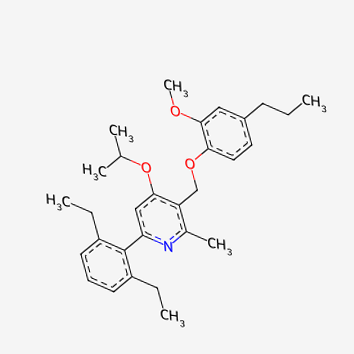 CCCc1ccc(OCc2c(OC(C)C)cc(-c3c(CC)cccc3CC)nc2C)c(OC)c1